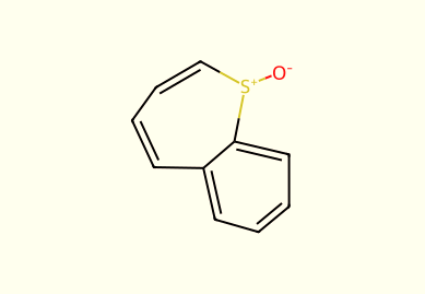 [O-][S+]1C=CC=Cc2ccccc21